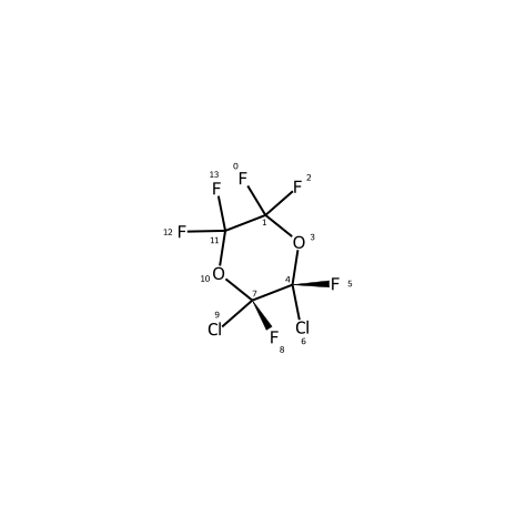 FC1(F)O[C@](F)(Cl)[C@](F)(Cl)OC1(F)F